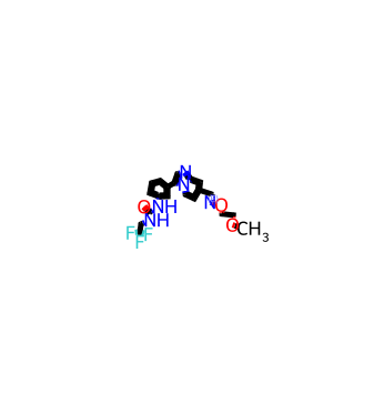 COCCO/N=C/c1ccn2c(-c3cccc(NC(=O)NCC(F)(F)F)c3)cnc2c1